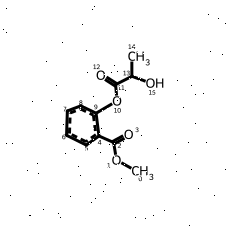 COC(=O)c1ccccc1OC(=O)C(C)O